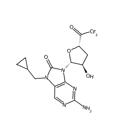 Nc1ncc2c(n1)n([C@@H]1O[C@H](C(=O)C(F)(F)F)C[C@H]1O)c(=O)n2CC1CC1